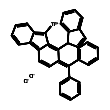 [Cl-].[Cl-].[Ti+2][C]1=c2ccccc2=c2ccc(=C(c3ccccc3)c3ccccc3)c(C3C=Cc4ccccc43)c21